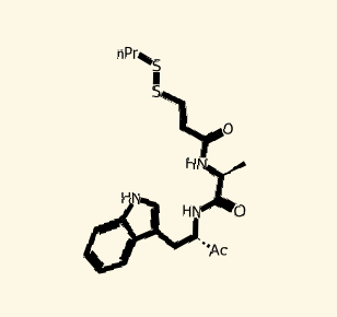 CCCSSCCC(=O)N[C@@H](C)C(=O)N[C@@H](Cc1c[nH]c2ccccc12)C(C)=O